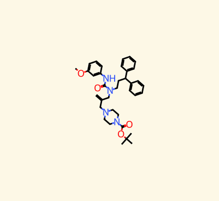 C=C(CN1CCN(C(=O)OC(C)(C)C)CC1)CN(CCC(c1ccccc1)c1ccccc1)C(=O)Nc1cccc(OC)c1